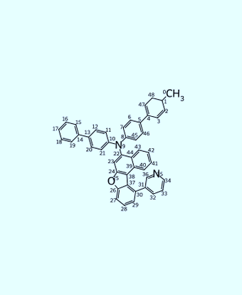 CC1C=CC(c2ccc(N(c3ccc(-c4ccccc4)cc3)c3cc4oc5cccc(-c6cccnc6)c5c4c4ccccc34)cc2)=CC1